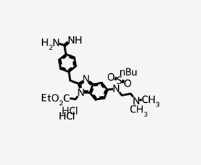 CCCCS(=O)(=O)N(CCN(C)C)c1ccc2c(c1)nc(Cc1ccc(C(=N)N)cc1)n2CC(=O)OCC.Cl.Cl